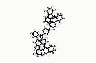 c1ccc(N(c2ccc(-c3ccc(-c4ccccc4-n4c5ccccc5c5ccccc54)cc3)cc2)c2ccc(-c3cccc4ccccc34)cc2)c(-c2ccc3c(c2)sc2ccccc23)c1